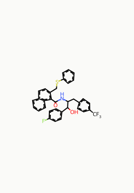 O=C(NC(Cc1ccc(C(F)(F)F)cc1)C(O)c1ccc(F)cc1)c1c(CSc2ccccc2)ccc2ccccc12